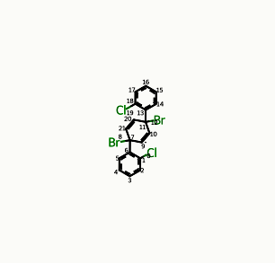 Clc1ccccc1C1(Br)[C]=CC(Br)(c2ccccc2Cl)C=C1